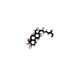 CC/C(C)=C/CC[C@@H](C)[C@H]1CC[C@@]2(C)C3=CC[C@H]4C(C)(C)C(=O)CC[C@]4(C)C3=CC[C@]12C